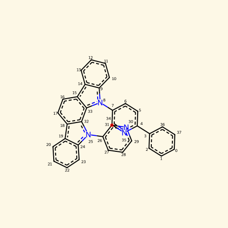 c1ccc(-c2ccc(-n3c4ccccc4c4ccc5c6ccccc6n(-c6cccnc6)c5c43)cn2)cc1